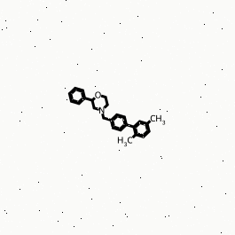 Cc1ccc(C)c(-c2ccc(CN3CCOC(c4ccccc4)C3)cc2)c1